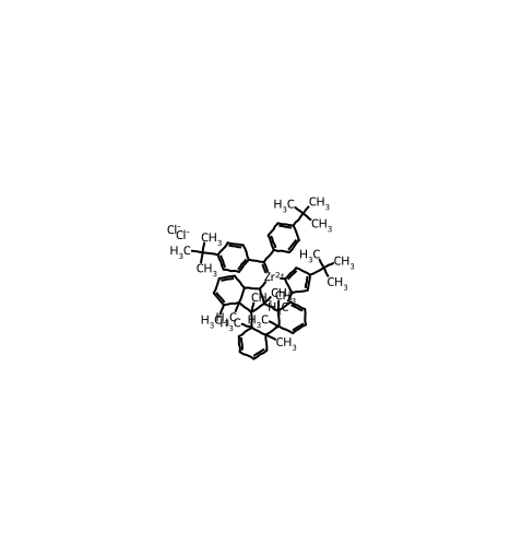 CC1=CC=CC2[CH]([Zr+2]([C]3=CC(C(C)(C)C)=CC3C)=[C](c3ccc(C(C)(C)C)cc3)c3ccc(C(C)(C)C)cc3)C3(C)C4(C)C=CC=CC4(C)C4(C)C=CC=CC4(C)C3(C)C12C.[Cl-].[Cl-]